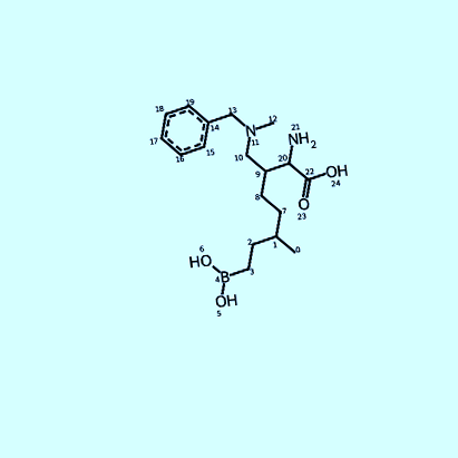 CC(CCB(O)O)CCC(CN(C)Cc1ccccc1)C(N)C(=O)O